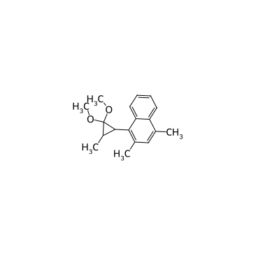 COC1(OC)C(C)C1c1c(C)cc(C)c2ccccc12